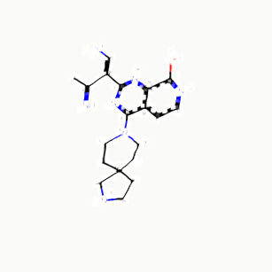 CC(=N)/C(=C\N)c1nc(N2CCC3(CCNC3)CC2)c2ccnc(O)c2n1